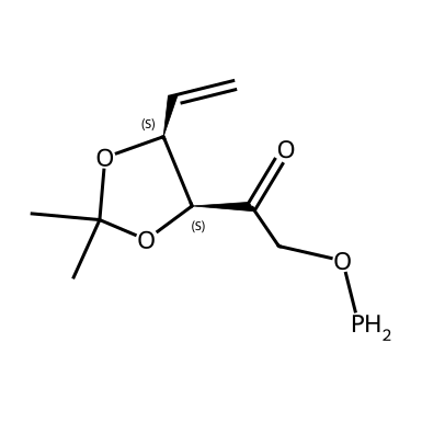 C=C[C@@H]1OC(C)(C)O[C@@H]1C(=O)COP